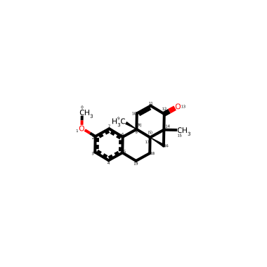 COc1ccc2c(c1)[C@]1(C)C=CC(=O)C3(C)C[C@]31CC2